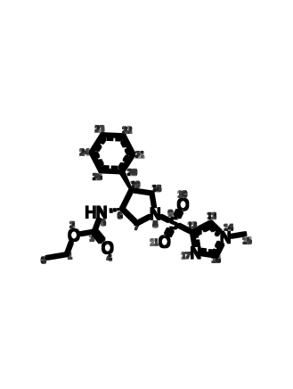 CCOC(=O)N[C@H]1CN(S(=O)(=O)c2cn(C)cn2)C[C@@H]1c1ccccc1